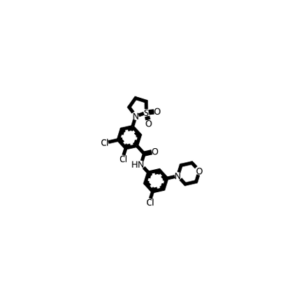 O=C(Nc1cc(Cl)cc(N2CCOCC2)c1)c1cc(N2CCCS2(=O)=O)cc(Cl)c1Cl